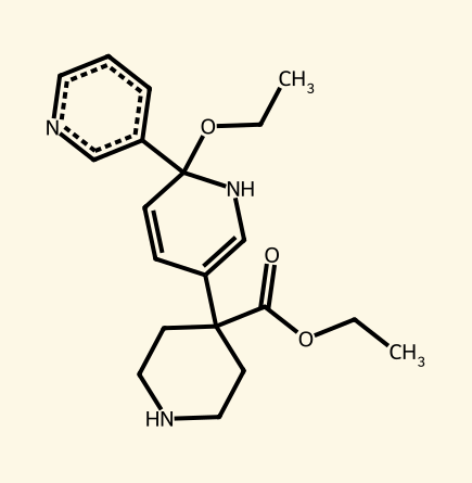 CCOC(=O)C1(C2=CNC(OCC)(c3cccnc3)C=C2)CCNCC1